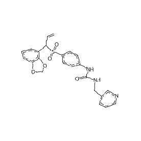 C=CC(c1cccc2c1OCO2)S(=O)(=O)c1ccc(NC(=O)NCc2cccnc2)cc1